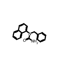 NC(=O)N(Cc1ccccc1)c1cccc2ccccc12